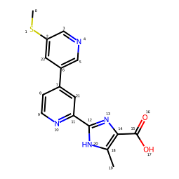 CSc1cncc(-c2ccnc(-c3nc(C(=O)O)c(C)[nH]3)c2)c1